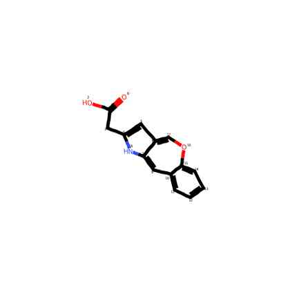 O=C(O)Cc1cc2c([nH]1)=Cc1ccccc1OC=2